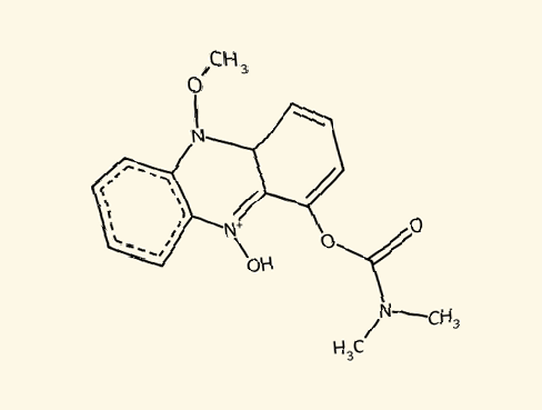 CON1c2ccccc2[N+](O)=C2C(OC(=O)N(C)C)=CC=CC21